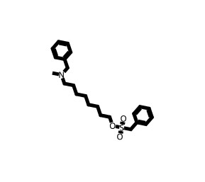 CN(CCCCCCCCOS(=O)(=O)Cc1ccccc1)Cc1ccccc1